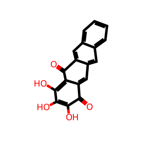 O=C1C2=Cc3cc4ccccc4cc3C(=O)C2=C(O)C(O)=C1O